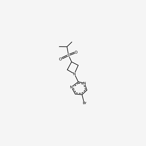 CC(C)S(=O)(=O)C1CN(c2ncc(Br)cn2)C1